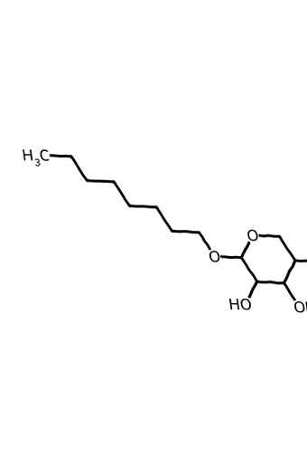 CCCCCCCCOC1OCC(O)C(O)C1O